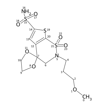 COCCCN1CC2(OCCO2)c2cc(S(N)(=O)=O)sc2S1(=O)=O